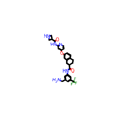 NCc1cc(NC(=O)C2CCc3ccc(Oc4ccnc(NC(=O)C5CNC5)c4)cc3C2)cc(C(F)(F)F)c1